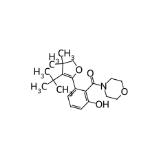 CC(C)(C)C1=C(c2cccc(O)c2C(=O)N2CCOCC2)OCC1(C)C